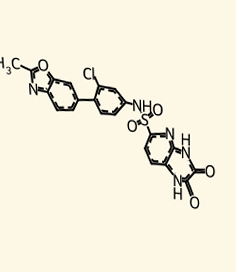 Cc1nc2ccc(-c3ccc(NS(=O)(=O)c4ccc5[nH]c(=O)c(=O)[nH]c5n4)cc3Cl)cc2o1